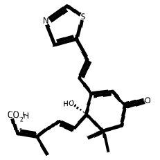 CC(=C/C(=O)O)/C=C/[C@@]1(O)C(/C=C/c2cncs2)=CC(=O)CC1(C)C